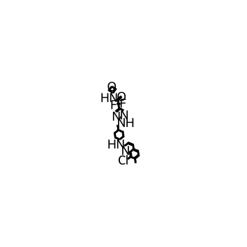 Cc1ccc2ccc(NC3CCC(CNc4ncc(C(F)(F)C(=O)NC5COC5)cn4)CC3)nc2c1Cl